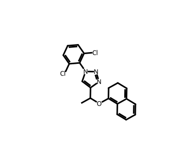 CC(OC1=c2ccccc2=CCC1)c1cn(-c2c(Cl)cccc2Cl)nn1